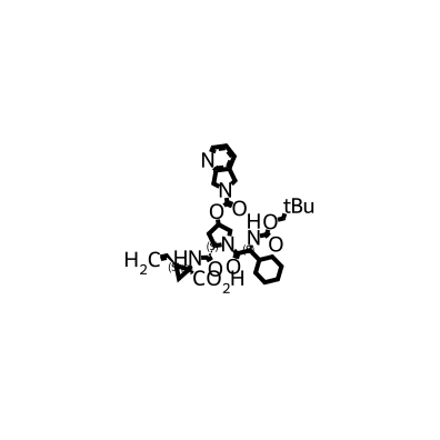 C=C[C@@H]1C[C@]1(NC(=O)[C@@H]1CC(OC(=O)N2Cc3cccnc3C2)CN1C(=O)[C@@H](NC(=O)OCC(C)(C)C)C1CCCCC1)C(=O)O